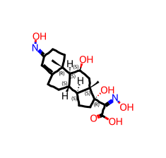 C[C@]12CCC(=NO)C=C1CC[C@@H]1[C@@H]2[C@@H](O)C[C@@]2(C)[C@H]1CC[C@]2(O)C(=NO)C(=O)O